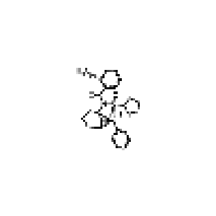 COc1ccccc1C(=O)N(C12CCCC(CC1)N2Cc1ccccc1)S(=O)(=O)C1CCCN1